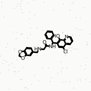 O=C(CNCc1ccc2c(c1)OCO2)NC(c1ccccc1)c1cc(Cl)c2cccnc2c1O